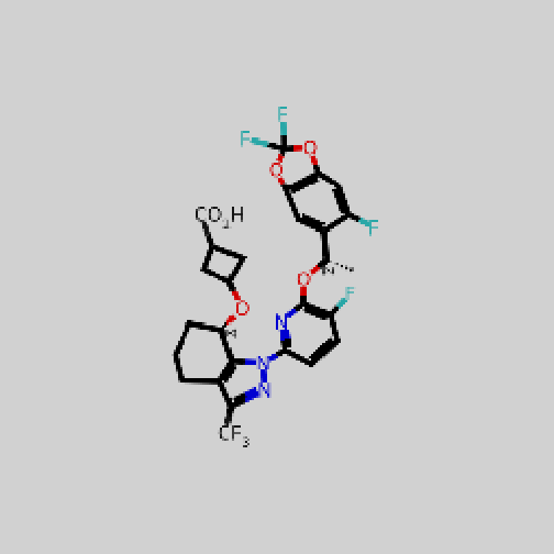 C[C@H](Oc1nc(-n2nc(C(F)(F)F)c3c2[C@H](OC2CC(C(=O)O)C2)CCC3)ccc1F)c1cc2c(cc1F)OC(F)(F)O2